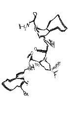 NC(=O)n1cc(NC(=O)N2C[C@H](F)C[C@H]2C(=O)NCc2cccc(Br)c2F)c2ccccc21